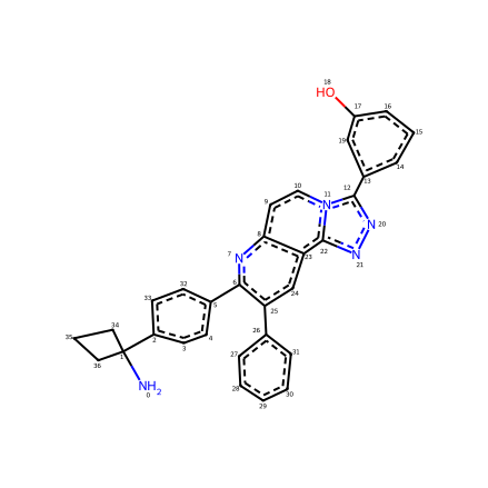 NC1(c2ccc(-c3nc4ccn5c(-c6cccc(O)c6)nnc5c4cc3-c3ccccc3)cc2)CCC1